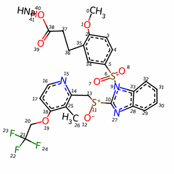 COc1ccc(S(=O)(=O)n2c([S+]([O-])Cc3nccc(OCC(F)(F)F)c3C)nc3ccccc32)cc1CCC(=O)O.[NaH]